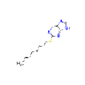 CCCCCCCCSc1ncc2nc[nH]c2n1